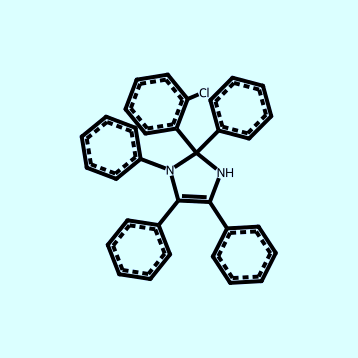 Clc1ccccc1C1(c2ccccc2)NC(c2ccccc2)=C(c2ccccc2)N1c1ccccc1